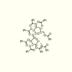 CC(C)C(=O)OC[C@H]1O[C@H](O[C@H]2O[C@H](COC(=O)C(C)C)[C@@H](OC(=O)C(C)C)[C@H](OC(=O)C(C)C)[C@H]2OC(=O)C(C)C)[C@H](OC(=O)C(C)C)[C@@H](OC(=O)C(C)C)[C@@H]1OC(=O)C(C)C